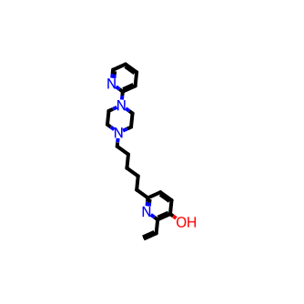 C=Cc1nc(CCCCCN2CCN(c3ccccn3)CC2)ccc1O